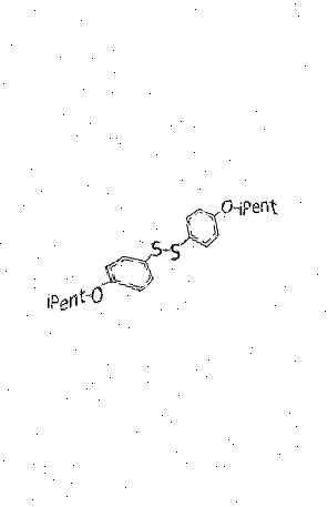 CCCC(C)Oc1ccc(SSc2ccc(OC(C)CCC)cc2)cc1